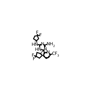 NC1=NC(c2cccc(C(F)(F)F)n2)([C@H]2CCC(F)(F)C2)NC(N[C@H]2CCC(F)(F)C2)=N1